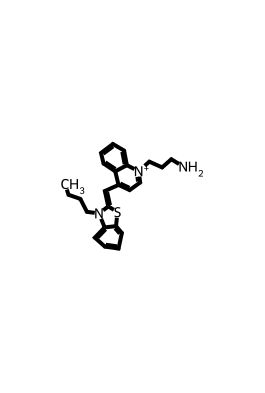 CCCCN1/C(=C/c2cc[n+](CCCN)c3ccccc23)Sc2ccccc21